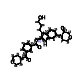 O=C(/N=c1\[nH]c2cc(N3CCOCC3=O)ccc2n1CCCO)c1cccc(C(=O)N2CCOCC2)c1